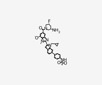 COc1cc(C(=O)N2C[C@H](N)C[C@@H](F)C2)cc2nc(-c3cc4ccc(-c5ccc(NS(C)(=O)=O)cc5)cc4n3CC3CC3)n(C)c12